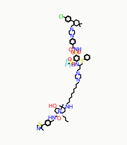 CCCC[C@@H](CC(NCCCCCCCCCCN1CCN(CCC(CSc2ccccc2)Nc2ccc(S(=O)(=O)NC(=O)c3ccc(N4CCN(CC5=C(c6ccc(Cl)cc6)CCC(C)(C)C5)CC4)cc3)cc2S(=O)(=O)C(F)(F)F)CC1)C(C)(C)C)N1C[C@H](O)C[C@H]1C(=O)NCc1ccc(-c2scnc2C)cc1